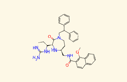 CCC(NC(=N)N)[C@@H]1N[C@H](CNC(=O)c2ccc3ccccc3c2OC)CCN(CC(c2ccccc2)c2ccccc2)C1=O